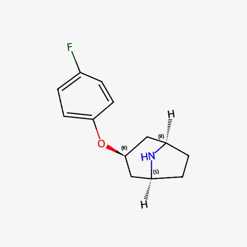 Fc1ccc(O[C@H]2C[C@H]3CC[C@@H](C2)N3)cc1